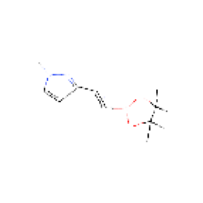 Cn1ccc(/C=C/B2OC(C)(C)C(C)(C)O2)n1